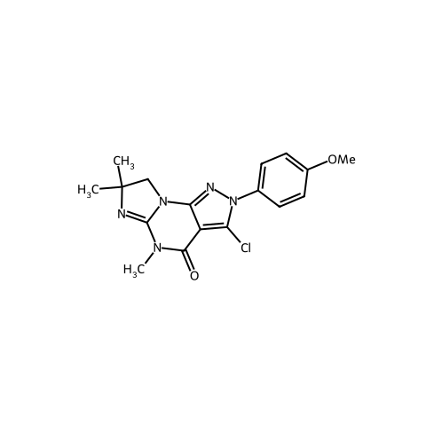 COc1ccc(-n2nc3c(c2Cl)C(=O)N(C)C2=NC(C)(C)CN23)cc1